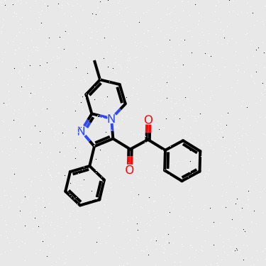 Cc1ccn2c(C(=O)C(=O)c3ccccc3)c(-c3ccccc3)nc2c1